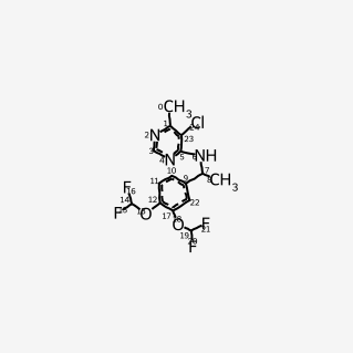 Cc1ncnc(NC(C)c2ccc(OC(F)F)c(OC(F)F)c2)c1Cl